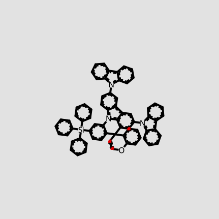 c1ccc([Si](c2ccccc2)(c2ccccc2)c2ccc3c(c2)-n2c4ccc(-n5c6ccccc6c6ccccc65)cc4c4cc(-n5c6ccccc6c6ccccc65)cc(c42)C32c3ccccc3Oc3ccccc32)cc1